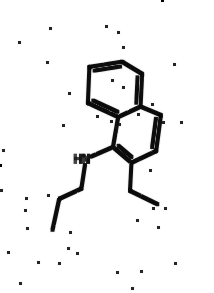 CCCNc1c(CC)ccc2ccccc12